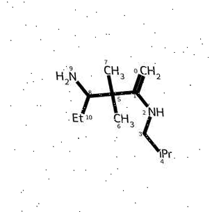 C=C(NCC(C)C)C(C)(C)C(N)CC